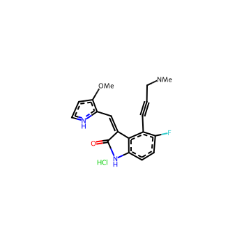 CNCC#Cc1c(F)ccc2c1C(=Cc1[nH]ccc1OC)C(=O)N2.Cl